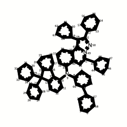 c1ccc(-c2cccc(N(c3cccc4c3-c3ccccc3C4(c3ccccc3)c3ccccc3)c3cccc4c3cc(-c3ccccc3)n3nc(-c5ccccc5)c(-c5ccccc5)c43)c2)cc1